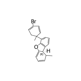 CC1C=CC=C2Oc3c(cccc3C3(C)C=CC(Br)=CC3)[C@H]21